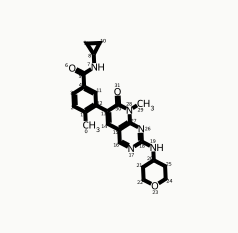 Cc1ccc(C(=O)NC2CC2)cc1-c1cc2cnc(NC3CCOCC3)nc2n(C)c1=O